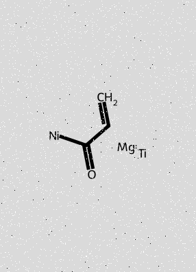 C=C[C](=O)[Ni].[Mg].[Ti]